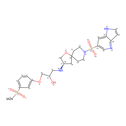 CNS(=O)(=O)c1cccc(OCC(O)CN[C@H]2COC3(CCN(S(=O)(=O)c4cnc5cc[nH]c5c4)CC3)C2)c1